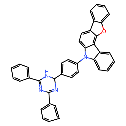 c1ccc(C2=NC(c3ccc(-n4c5ccccc5c5c6oc7ccccc7c6ccc54)cc3)NC(c3ccccc3)=N2)cc1